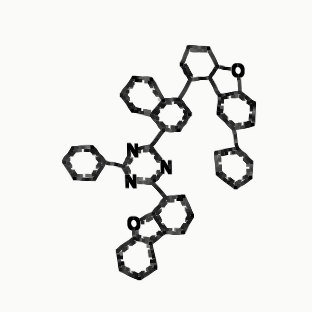 C1=CC2Oc3ccc(-c4ccccc4)cc3C2C(c2ccc(-c3nc(-c4ccccc4)nc(-c4cccc5c4oc4ccccc45)n3)c3ccccc23)=C1